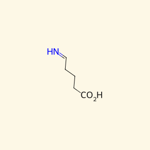 N=CCCCC(=O)O